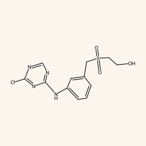 O=S(=O)(CCO)Cc1cccc(Nc2ncnc(Cl)n2)c1